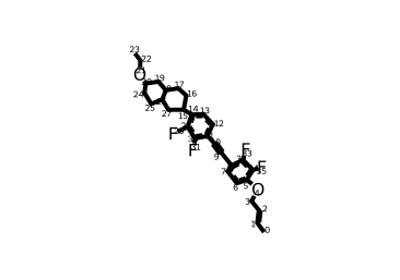 C/C=C/COc1ccc(C#Cc2ccc(C3CCC4CC(OCC)CCC4C3)c(F)c2F)c(F)c1F